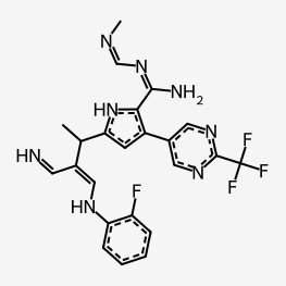 C/N=C\N=C(\N)c1[nH]c(C(C)/C(C=N)=C/Nc2ccccc2F)cc1-c1cnc(C(F)(F)F)nc1